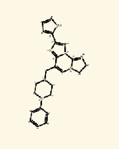 C1=C(CN2CCN(c3ccccc3)CC2)c2nc(-c3ccco3)nn2C2=NCCN12